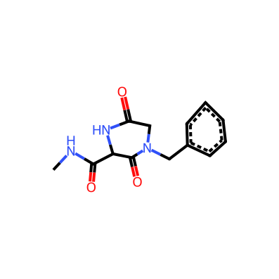 CNC(=O)C1NC(=O)CN(Cc2ccccc2)C1=O